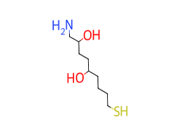 NCC(O)CCC(O)CCCCS